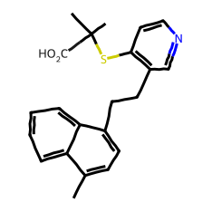 Cc1ccc(CCc2cnccc2SC(C)(C)C(=O)O)c2ccccc12